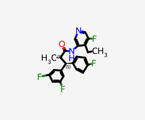 CCc1c(F)cncc1NC(=O)[C@@H](C)[C@@H](c1ccc(F)cc1)c1cc(F)cc(F)c1